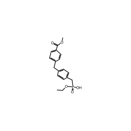 CCOP(=O)(O)Cc1ccc(Cc2ccc(C(=O)OC)cc2)cc1